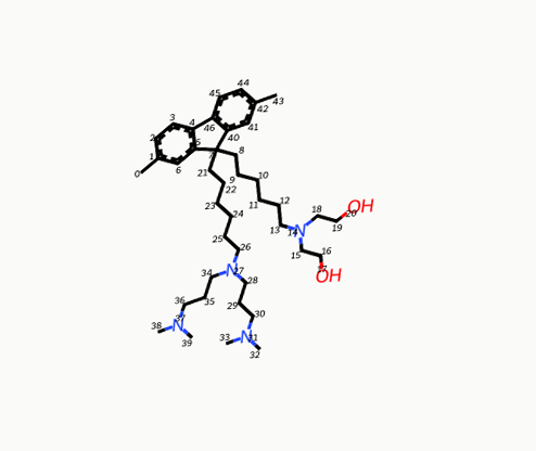 Cc1ccc2c(c1)C(CCCCCCN(CCO)CCO)(CCCCCCN(CCCN(C)C)CCCN(C)C)c1cc(C)ccc1-2